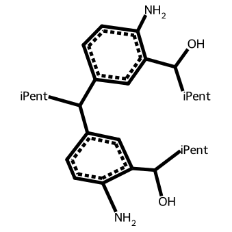 CCCC(C)C(O)c1cc(C(c2ccc(N)c(C(O)C(C)CCC)c2)C(C)CCC)ccc1N